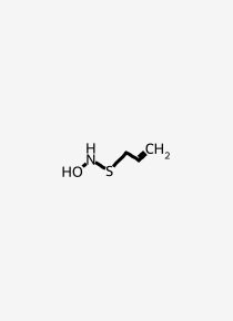 C=CCSNO